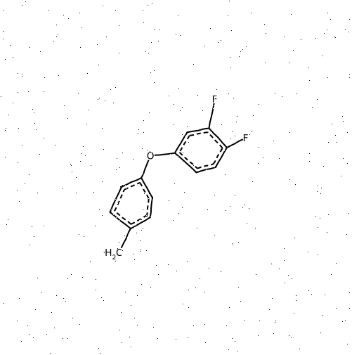 [CH2]c1ccc(Oc2ccc(F)c(F)c2)cc1